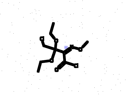 CCOC(CCl)(OCC)/C(=N/OC)C(=O)Cl